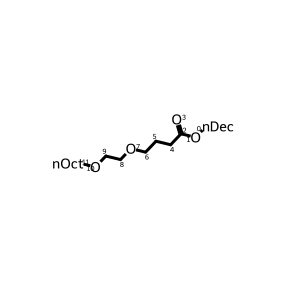 CCCCCCCCCCOC(=O)CCCOCCOCCCCCCCC